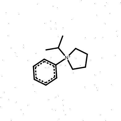 CC(C)[N+]1(c2ccccc2)CCCC1